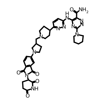 NC(=O)c1nnc(N2CCCCC2)nc1Nc1ccc(C2CCN(CC3CCN(c4ccc5c(c4)C(=O)N(C4CCC(=O)NC4=O)C5=O)C3)CC2)nn1